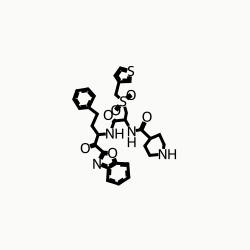 O=C(NC(CS(=O)(=O)Cc1ccsc1)C(=O)NC(CCc1ccccc1)C(=O)c1nc2ccccc2o1)C1CCNCC1